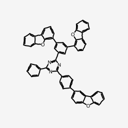 c1ccc(-c2nc(-c3ccc(-c4ccc5oc6ccccc6c5c4)cc3)nc(-c3cc(-c4cccc5c4oc4ccccc45)cc(-c4cccc5c4oc4ccccc45)c3)n2)cc1